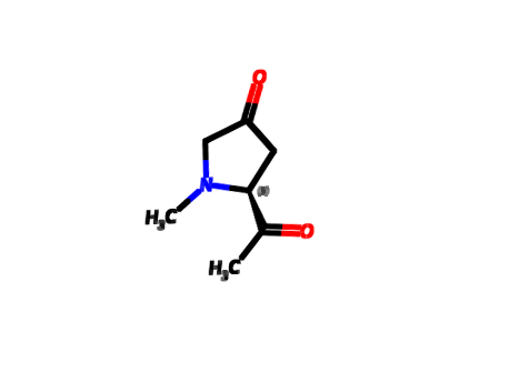 CC(=O)[C@@H]1CC(=O)CN1C